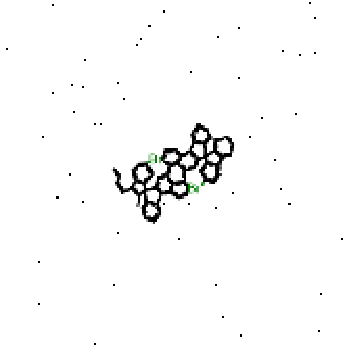 C=C/C=C\C1=C(C)C2(c3cc(Br)ccc31)c1ccccc1-c1c2cc2c3cccc4c5c(cc(c6cccc1c26)c43)C1(c2ccccc2-c2ccc(Br)cc21)c1ccccc1-5